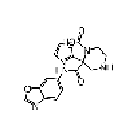 O=C(O)N1CCNCC1(C(=O)Nc1ccc2ncoc2c1)c1nccs1